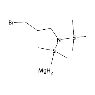 C[Si](C)(C)N(CCCBr)[Si](C)(C)C.[MgH2]